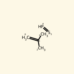 C=C(C)C.P=S